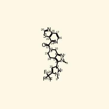 Cn1nc(-c2c3c(nn2C)CN(C(=O)c2nccc4ncsc24)CC3)cc1C(F)(F)F